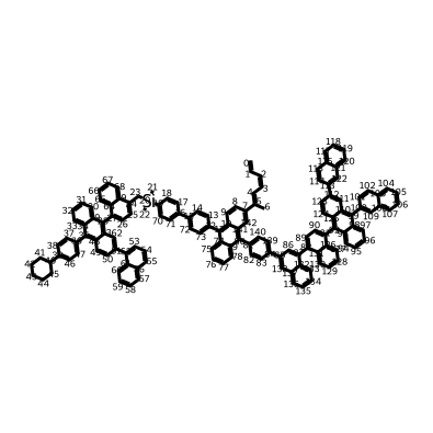 C=C/C=C\C=C(/C)c1ccc2c(-c3ccc(-c4ccc([Si](C)(C)Cc5ccc(-c6c7ccccc7c(-c7ccc(C8CCCCC8)cc7)c7ccc(-c8cccc9ccccc89)cc67)c6ccccc56)cc4)cc3)c3ccccc3c(-c3ccc(-c4cc(-c5ccc(-c6c7ccccc7c(-c7ccc8ccccc8c7)c7cc(-c8ccc9ccccc9c8)ccc67)c6ccccc56)c5ccccc5c4)cc3)c2c1